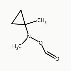 CN(OC=O)C1(C)CC1